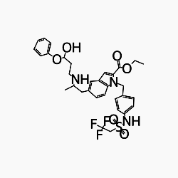 CCOC(=O)c1cc2cc(CC(C)NCCC(O)Oc3ccccc3)ccc2n1Cc1ccc(NS(=O)(=O)CC(F)(F)F)cc1